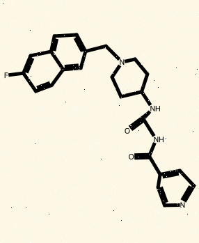 O=C(NC(=O)c1ccncc1)NC1CCN(Cc2ccc3cc(F)ccc3c2)CC1